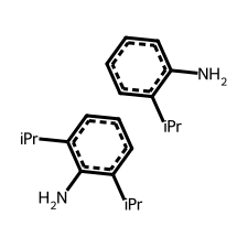 CC(C)c1cccc(C(C)C)c1N.CC(C)c1ccccc1N